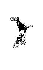 CO[C@@H]1C[C@@H]2C[C@H](O[Si](C)(C)C(C)(C)C)CC[C@]2(C)[C@H]2CC[C@]3(C)[C@@H](C(C)CCC(=O)NCC(O)C(O)C(O)C(O)CO)CC[C@H]3[C@H]12